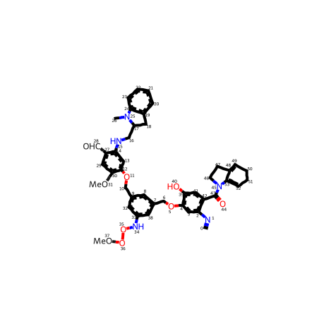 C=Nc1cc(OCc2cc(COc3cc(NCC4Cc5ccccc5N4C)c(C=O)cc3OC)cc(NOOOC)c2)c(O)cc1C(=O)N1CCC2=CCCC=C21